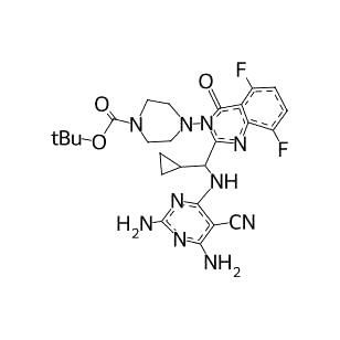 CC(C)(C)OC(=O)N1CCN(n2c(C(Nc3nc(N)nc(N)c3C#N)C3CC3)nc3c(F)ccc(F)c3c2=O)CC1